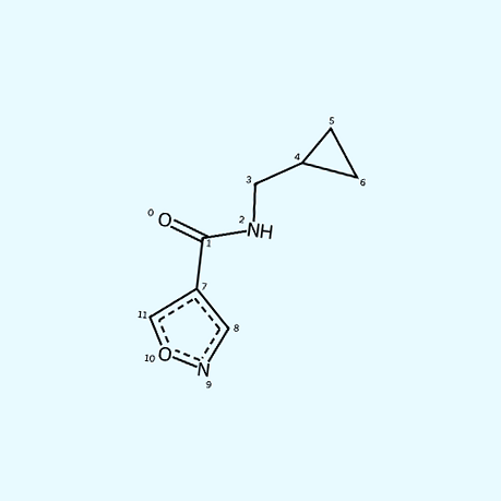 O=C(NCC1CC1)c1cnoc1